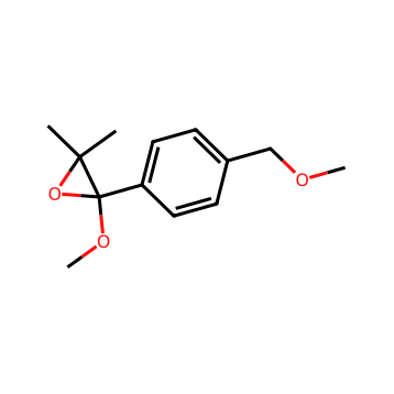 COCc1ccc(C2(OC)OC2(C)C)cc1